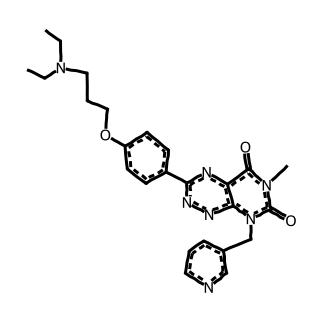 CCN(CC)CCCOc1ccc(-c2nnc3c(n2)c(=O)n(C)c(=O)n3Cc2cccnc2)cc1